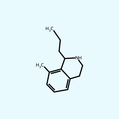 CCCC1NCCc2cccc(C)c21